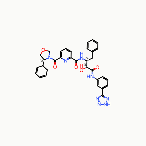 O=C(N[C@@H](Cc1ccccc1)[C@H](O)C(=O)Nc1cccc(-c2nn[nH]n2)c1)c1cccc(C(=O)N2COC[C@@H]2C2C=CC=CC2)n1